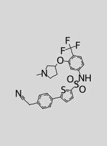 CN1CCC(Oc2cc(NS(=O)(=O)c3ccc(-c4ccc(CC#N)cc4)s3)ccc2C(F)(F)F)C1